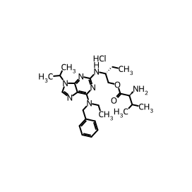 CC[C@H](COC(=O)[C@@H](N)C(C)C)Nc1nc(N(CC)Cc2ccccc2)c2ncn(C(C)C)c2n1.Cl